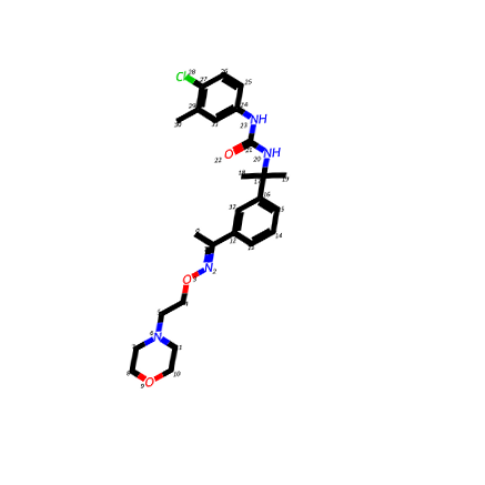 C/C(=N\OCCN1CCOCC1)c1cccc(C(C)(C)NC(=O)Nc2ccc(Cl)c(C)c2)c1